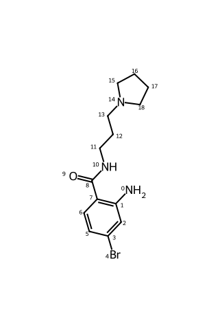 Nc1cc(Br)ccc1C(=O)NCCCN1CCCC1